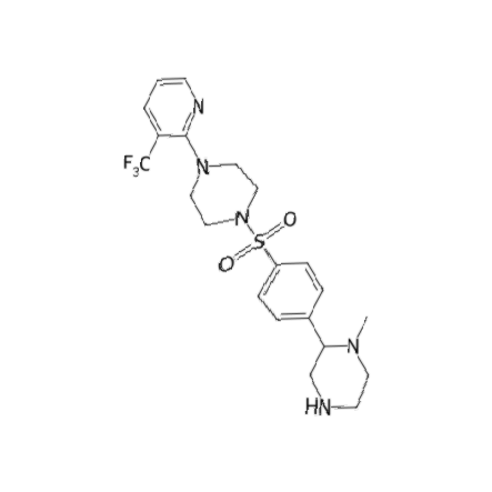 CN1CCNCC1c1ccc(S(=O)(=O)N2CCN(c3ncccc3C(F)(F)F)CC2)cc1